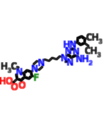 CCc1cc(Nc2nc(N)c3ncn(CCCCCN4CCN(c5cc6c(cc5F)c(=O)c(C(=O)O)cn6CC)CC4)c3n2)ccc1C